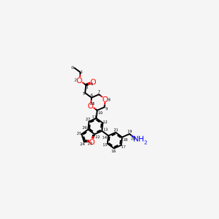 CCOC(=O)CC1COCC(c2cc(-c3cccc(CN)c3)c3occc3c2)O1